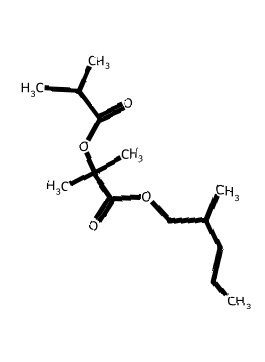 CCCC(C)COC(=O)C(C)(C)OC(=O)C(C)C